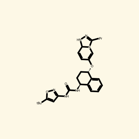 CC(C)C1=NNC2C=CC(O[C@H]3CC[C@H](NC(=O)Nc4cc(C(C)(C)C)on4)c4ccccc43)=CN12